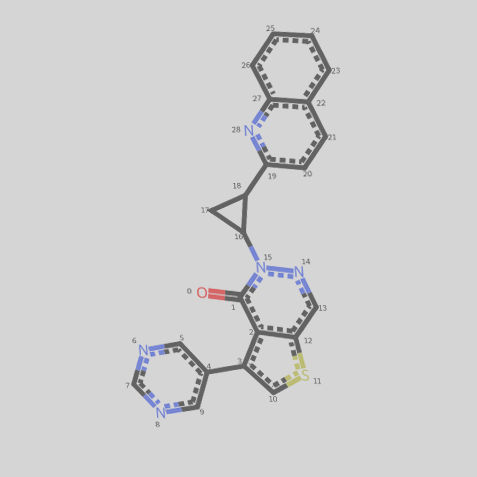 O=c1c2c(-c3cncnc3)csc2cnn1C1CC1c1ccc2ccccc2n1